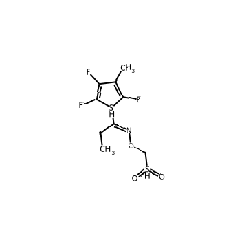 CCC(=NOC[SH](=O)=O)[SH]1C(F)=C(C)C(F)=C1F